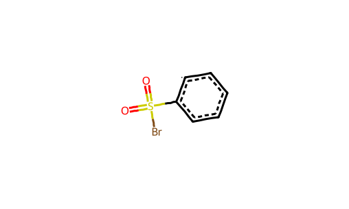 O=S(=O)(Br)c1[c]cccc1